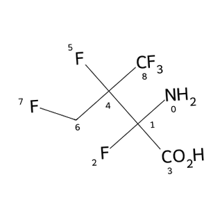 NC(F)(C(=O)O)C(F)(CF)C(F)(F)F